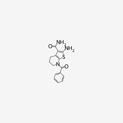 NC(=O)c1c(N)sc2c1CCCN2C(=O)c1ccccc1